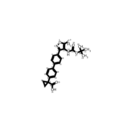 Cc1onc(-c2ccc(-c3ccc(C4(C(=O)O)CC4)cc3)cc2)c1NC(=O)OC(C)(C)C